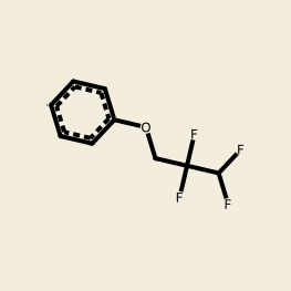 FC(F)C(F)(F)COc1cc[c]cc1